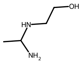 CC(N)NCCO